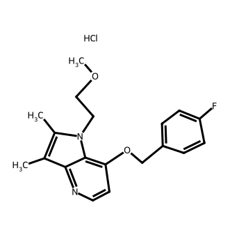 COCCn1c(C)c(C)c2nccc(OCc3ccc(F)cc3)c21.Cl